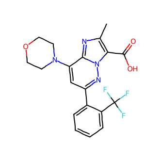 Cc1nc2c(N3CCOCC3)cc(-c3ccccc3C(F)(F)F)nn2c1C(=O)O